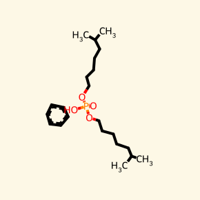 CC(C)CCCCCOP(=O)(O)OCCCCCC(C)C.c1ccccc1